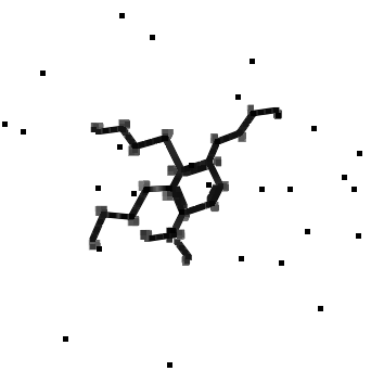 CCCCc1ccc(P(C)C)c(CCCC)c1CCCC